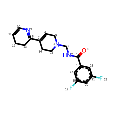 O=C(NCN1CC=C(C2=NC=CCC2)CC1)c1cc(F)cc(F)c1